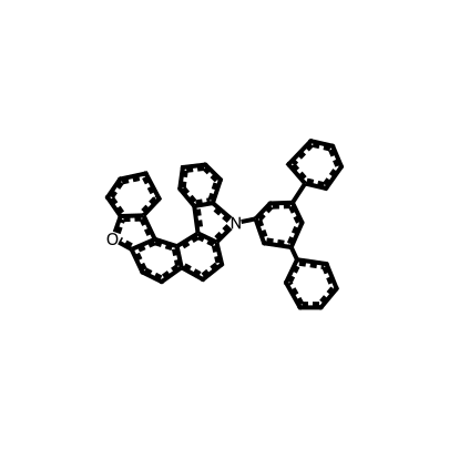 c1ccc(-c2cc(-c3ccccc3)cc(-n3c4ccccc4c4c5c(ccc6oc7ccccc7c65)ccc43)c2)cc1